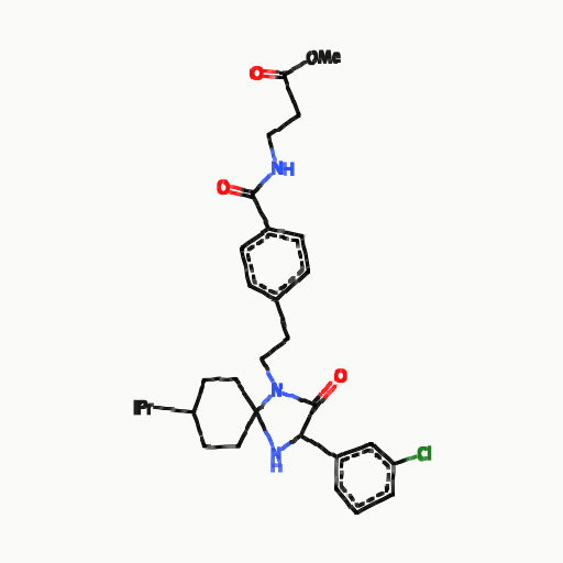 COC(=O)CCNC(=O)c1ccc(CCN2C(=O)C(c3cccc(Cl)c3)NC23CCC(C(C)C)CC3)cc1